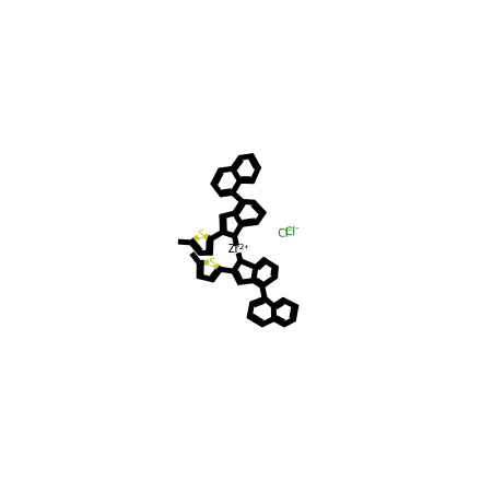 Cc1ccc(C2=Cc3c(-c4cccc5ccccc45)cccc3[CH]2[Zr+2][CH]2C(c3ccc(C)s3)=Cc3c(-c4cccc5ccccc45)cccc32)s1.[Cl-].[Cl-]